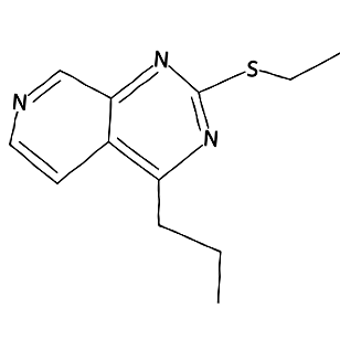 CCCc1nc(SCC)nc2cnccc12